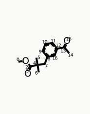 COC(=O)C(C)(C)Cc1cccc(C(C)=O)c1